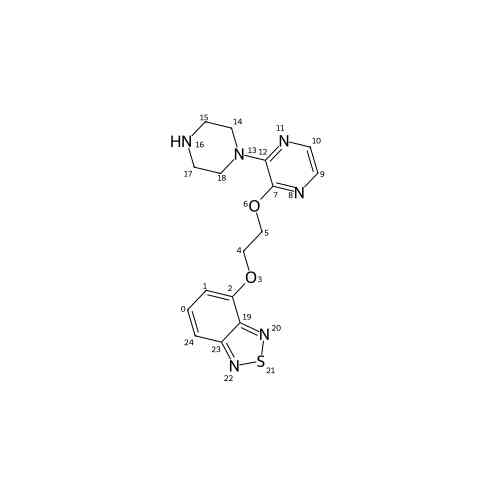 c1cc(OCCOc2nccnc2N2CCNCC2)c2nsnc2c1